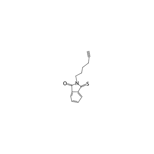 C#CCCCCN1C(=O)c2ccccc2C1=S